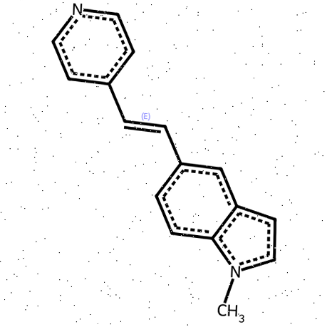 Cn1ccc2cc(/C=C/c3ccncc3)ccc21